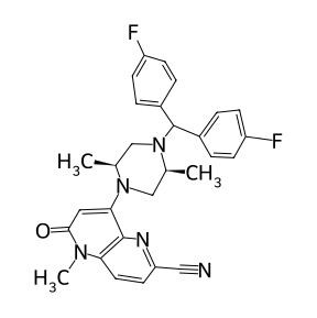 C[C@H]1CN(C(c2ccc(F)cc2)c2ccc(F)cc2)[C@@H](C)CN1c1cc(=O)n(C)c2ccc(C#N)nc12